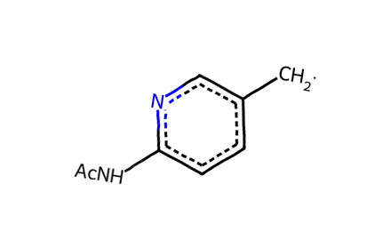 [CH2]c1ccc(NC(C)=O)nc1